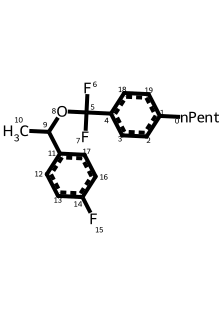 CCCCCc1ccc(C(F)(F)OC(C)c2ccc(F)cc2)cc1